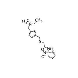 CCN(C)Cc1ccc(CSCCNC2([N+](=O)[O-])C=CC=N2)s1